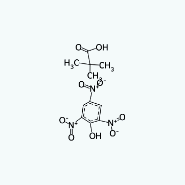 CC(C)(C)C(=O)O.O=[N+]([O-])c1cc([N+](=O)[O-])c(O)c([N+](=O)[O-])c1